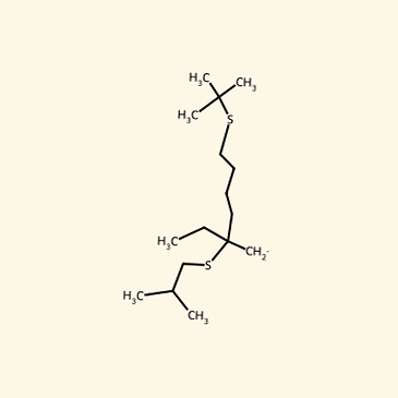 [CH2]C(CC)(CCCCSC(C)(C)C)SCC(C)C